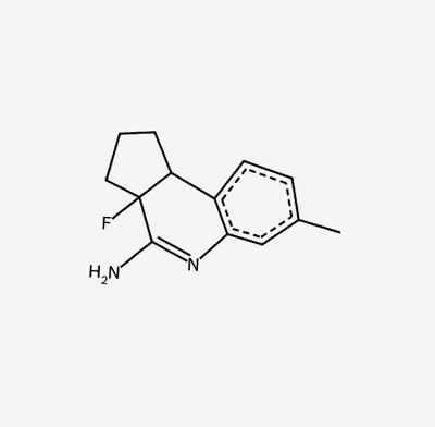 Cc1ccc2c(c1)N=C(N)C1(F)CCCC21